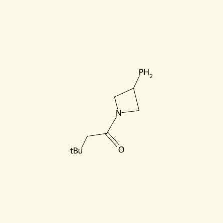 CC(C)(C)CC(=O)N1CC(P)C1